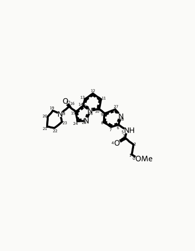 COCCC(=O)Nc1ccc(-c2cccc3c(C(=O)N4CCCCC4)cnn23)cn1